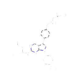 CCCC(C)Nc1ncc2c(-c3ccc(CNCC(C)(C)C)cc3)cn([C@H]3CC[C@H](O)CC3)c2n1